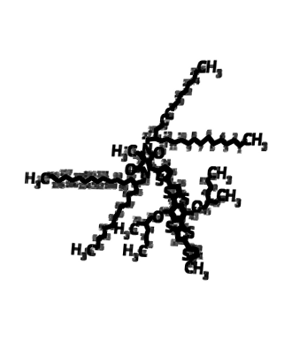 CCCCCCCCCCCCCCC(CCCCCCCCCCCC)CN1C(=O)C2=C(c3ccc(-c4cc5sc6c(COCC(CC)CCCC)c7c(sc8cc(-c9ccc(C)s9)sc87)c(COCC(CC)CCCC)c6c5s4)s3)N(CC(CCCCCCCCCCCC)CCCCCCCCCCCCCC)C(=O)C2=C1C